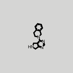 c1ccc2c(c1)CCN(c1ncnc3c1CNC3)C2